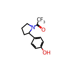 O=C(N1CCCC1c1ccc(O)cc1)C(F)(F)F